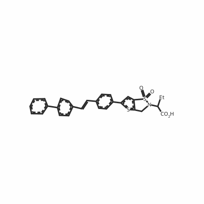 CCC(C(=O)O)N1Cc2sc(-c3ccc(/C=C/c4ccc(-c5ccccc5)cc4)cc3)cc2S1(=O)=O